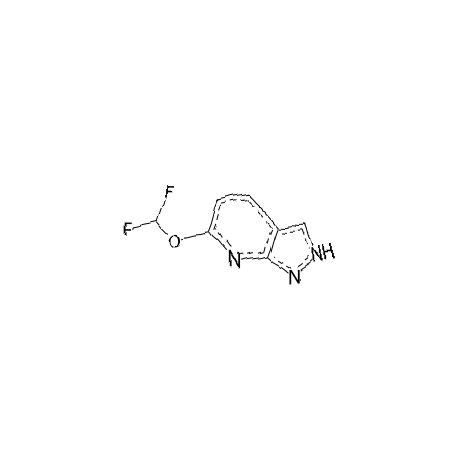 FC(F)Oc1ccc2c[nH]nc2n1